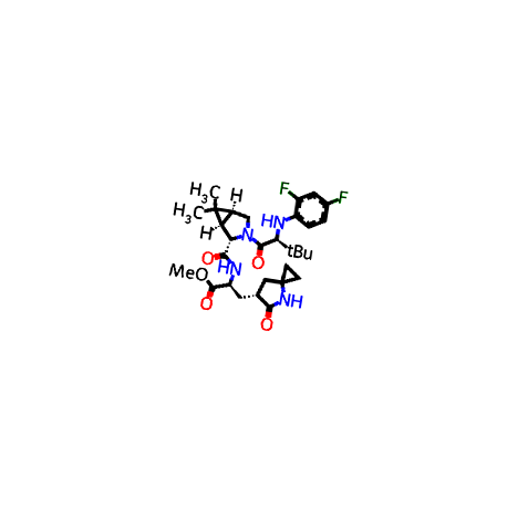 COC(=O)[C@H](C[C@@H]1CC2(CC2)NC1=O)NC(=O)[C@@H]1[C@@H]2[C@H](CN1C(=O)[C@@H](Nc1ccc(F)cc1F)C(C)(C)C)C2(C)C